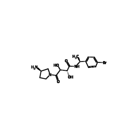 C[C@H](NC(=O)[C@H](O)C(O)C(=O)N1CC[C@@H](N)C1)c1ccc(Br)cc1